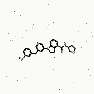 O=C(NC1CCOC1)c1cccc2c1CCN2c1cncc(Cc2cccc(C(F)(F)F)c2)c1